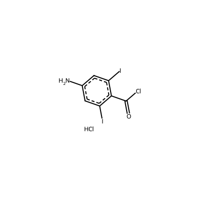 Cl.Nc1cc(I)c(C(=O)Cl)c(I)c1